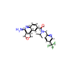 CC(C)N(Cc1ccc(C(F)(F)F)cn1)C(=O)c1ccc2nc(N)c3c(c2c1)COC3